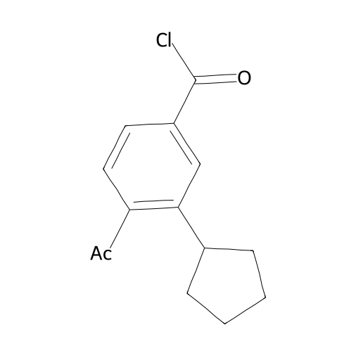 CC(=O)c1ccc(C(=O)Cl)cc1C1CCCC1